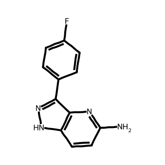 Nc1ccc2[nH]nc(-c3ccc(F)cc3)c2n1